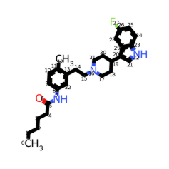 CCCCCC(=O)Nc1ccc(C)c(CCN2CCC(c3c[nH]c4ccc(F)cc34)CC2)c1